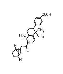 CC1(C)C(c2ccc(C(=O)O)cc2)=CC[C@]2(C)CN(C(=O)CN3C[C@@H]4CC[C@H]3C4)CC=C12